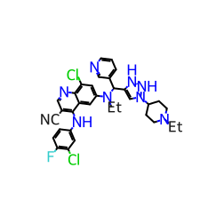 CCN1CCC(N2C=C([C@H](c3cccnc3)N(CC)c3cc(Cl)c4ncc(C#N)c(Nc5ccc(F)c(Cl)c5)c4c3)NN2)CC1